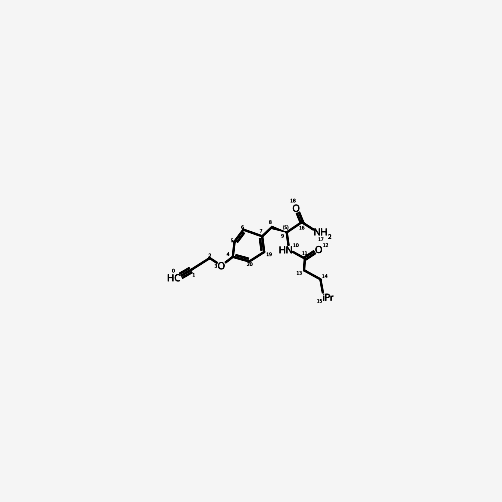 C#CCOc1ccc(C[C@H](NC(=O)CCC(C)C)C(N)=O)cc1